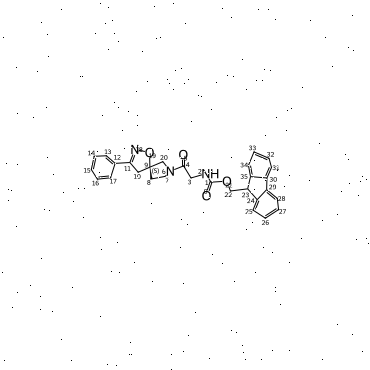 O=C(NCC(=O)N1CC[C@]2(CC(c3ccccc3)=NO2)C1)OCC1c2ccccc2-c2ccccc21